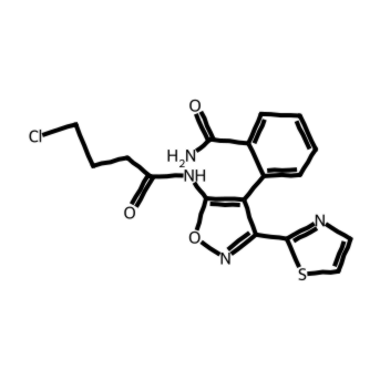 NC(=O)c1ccccc1-c1c(-c2nccs2)noc1NC(=O)CCCCl